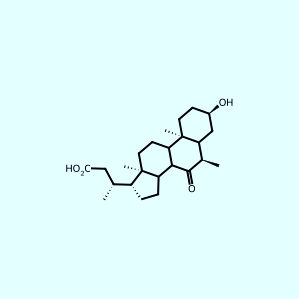 C[C@H](CC(=O)O)[C@H]1CCC2C3C(=O)[C@H](C)C4C[C@H](O)CC[C@]4(C)C3CC[C@@]21C